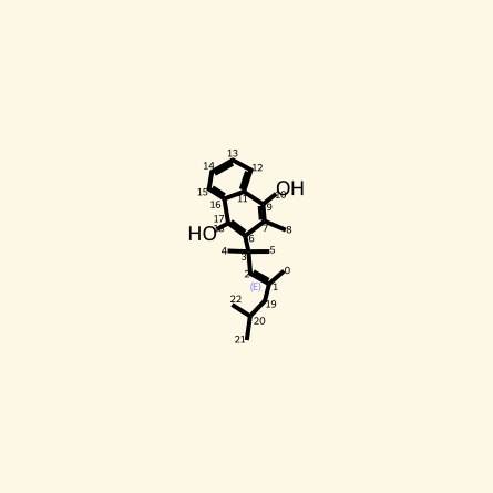 C/C(=C\C(C)(C)c1c(C)c(O)c2ccccc2c1O)CC(C)C